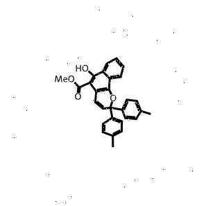 COC(=O)c1c2c(c3ccccc3c1O)OC(c1ccc(C)cc1)(c1ccc(C)cc1)C=C2